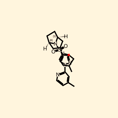 Cc1ccnc(-n2cc(S(=O)(=O)N3[C@@H]4CC[C@H]3C[C@@H](N3CCC(C)CC3)C4)cn2)c1